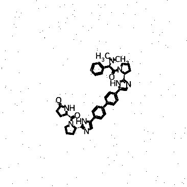 CN(C)[C@@H](C(=O)N1CCC[C@H]1c1ncc(-c2ccc(-c3ccc(-c4cnc([C@@H]5CCCN5C(=O)[C@H]5CCC(=O)N5)[nH]4)cc3)cc2)[nH]1)c1ccccc1